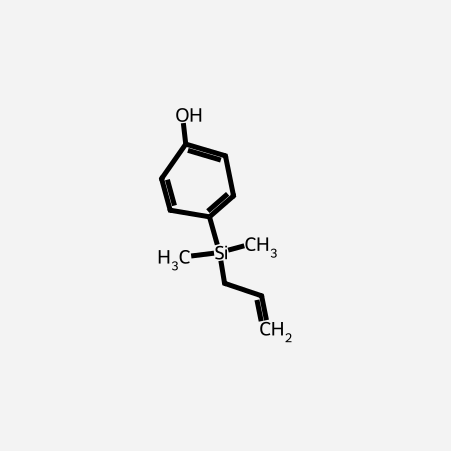 C=CC[Si](C)(C)c1ccc(O)cc1